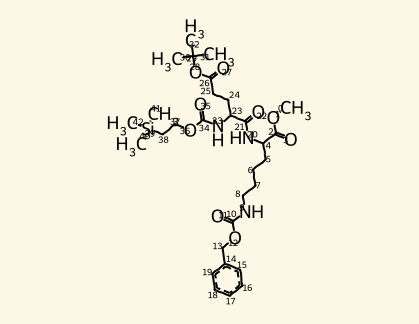 COC(=O)C(CCCCNC(=O)OCc1ccccc1)NC(=O)C(CCC(=O)OC(C)(C)C)NC(=O)OCC[Si](C)(C)C